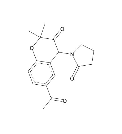 CC(=O)c1ccc2c(c1)C(N1CCCC1=O)C(=O)C(C)(C)O2